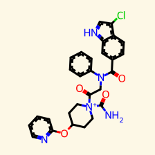 NC(=O)[N+]1(C(=O)CN(C(=O)c2ccc3c(Cl)c[nH]c3c2)c2ccccc2)CCC(Oc2ccccn2)CC1